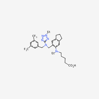 CCN(CCCCC(=O)O)c1cc2c(cc1CN(Cc1cc(C(F)(F)F)cc(C(F)(F)F)c1)c1nnn(CC)n1)CCC2